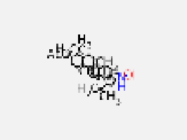 C=C(C)[C@@H]1CC[C@]2(CNO)CC[C@]3(C)C(CCC4[C@@]5(C)CC[C@H](OC(C)=O)C(C)(C)C5CC[C@]43C)C12